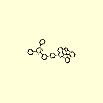 c1ccc(-c2cc(-c3ccccc3)nc(-c3cccc(-c4ccc(-c5nc6c(c7ccccc57)C5(c7ccccc7-c7ccccc75)c5ccccc5-6)cc4)c3)n2)cc1